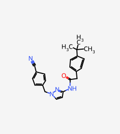 CC(C)(C)c1ccc(CC(=O)Nc2ccn(Cc3ccc(C#N)cc3)n2)cc1